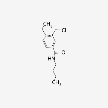 CCCCNC(=O)c1ccc(CC)c(CCl)c1